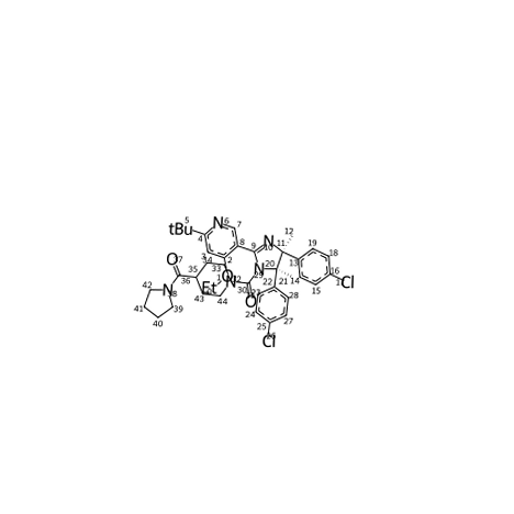 CCOc1cc(C(C)(C)C)ncc1C1=N[C@@](C)(c2ccc(Cl)cc2)[C@@](C)(c2ccc(Cl)cc2)N1C(=O)N1CCC(C(=O)N2CCCC2)CC1